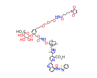 Cc1c(-c2ccc(-c3cnc4cccc(C(=O)Nc5nc6ccccc6s5)c4c3)nc2C(=O)O)cnn1CC12CC3(C)CC(C)(C1)CC(OCCNC(=O)OCc1cc(CCCOCCOCCOCCNC(=O)CCCCCN4C(=O)C=CC4=O)ccc1O[C@@H]1O[C@H](C(=O)O)[C@@H](O)[C@H](O)[C@H]1O)(C3)C2